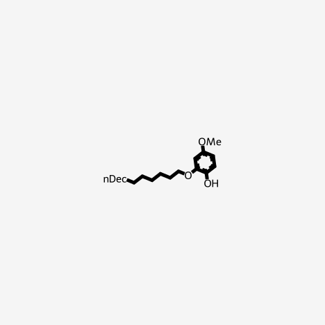 CCCCCCCCCCCCCCCCOc1cc(OC)ccc1O